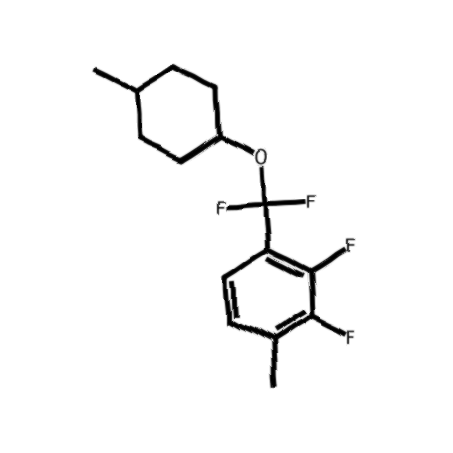 Cc1ccc(C(F)(F)OC2CCC(C)CC2)c(F)c1F